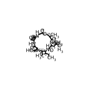 CCC(C)C1NC(=O)C(CC(C)C)N(C)C(=O)C(C)COC(=O)CNC(=O)C(CO)NC(=O)C(CO)NC1=O